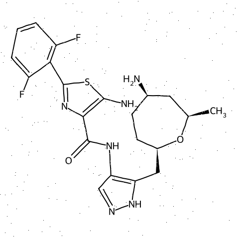 C[C@@H]1C[C@H](N)CC[C@H](Cc2[nH]ncc2NC(=O)c2nc(-c3c(F)cccc3F)sc2N)O1